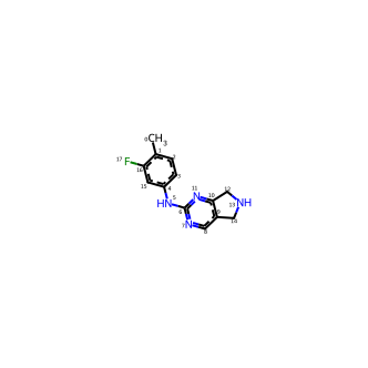 Cc1ccc(Nc2ncc3c(n2)CNC3)cc1F